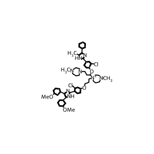 COc1cccc(-c2nc(-c3ccc(OCCC[N+]4(C(CCN5CCCN(C)CC5)Oc5ccc(-c6nc(-c7ccccc7)c(C)[nH]6)cc5Cl)CCCN(C)CC4)cc3Cl)[nH]c2-c2cccc(OC)c2)c1